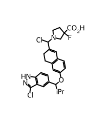 CC(C)C(Oc1ccc2c(c1)CCC(C(Cl)N1CCC(F)(C(=O)O)C1)=C2)c1ccc2[nH]nc(Cl)c2c1